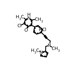 Cc1[nH]c(C)c(-c2ccc(C#CCN(C)Cc3cccn3C)cc2)c(=O)c1Cl.Cl